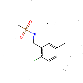 Cc1ccc(F)c(CNS(C)(=O)=O)c1